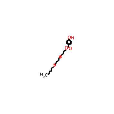 CCCCCCOCCCCOCCCCOC(=O)c1ccc(O)cc1